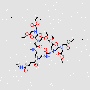 CCNC(=O)SCCC(=O)N(CCNC(=O)CN(CCN(CC(=O)OCC)CC(=O)OCC)CC(=O)OCC)CCNC(=O)CN(CCN(CC(=O)OCC)CC(=O)OCC)CC(=O)OCC